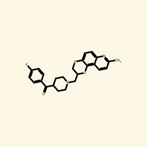 Cc1ccc2c3c(ccc2n1)OCC(CN1CCC(C(=O)c2ccc(F)cc2)CC1)O3